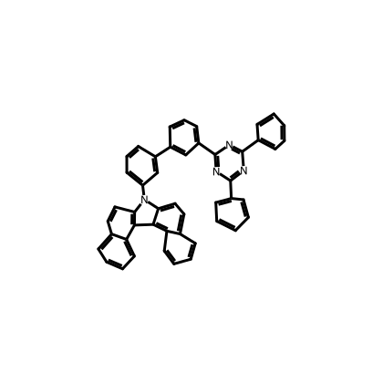 c1ccc(-c2nc(-c3ccccc3)nc(-c3cccc(-c4cccc(-n5c6ccc7ccccc7c6c6c7ccccc7ccc65)c4)c3)n2)cc1